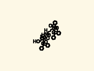 O=C(CCCC(C(=O)OC(c1ccccc1)c1ccccc1)N1C(=O)c2ccccc2C1=O)N[C@H]1C(=O)N2C(C(=O)OC(c3ccccc3)c3ccccc3)=C(CO)CS[C@@H]12